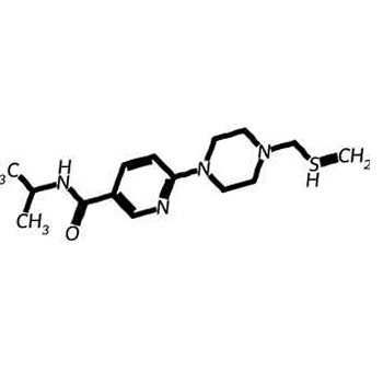 C=[SH]CN1CCN(c2ccc(C(=O)NC(C)C)cn2)CC1